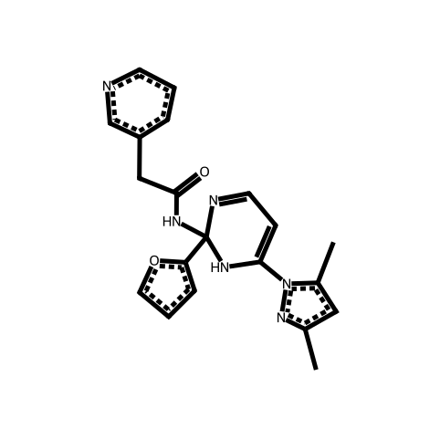 Cc1cc(C)n(C2=CC=NC(NC(=O)Cc3cccnc3)(c3ccco3)N2)n1